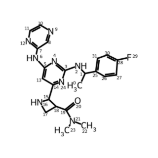 CC(Nc1nc(Nc2cnccn2)cc(C2NCC2C(=O)N(C)C)n1)c1ccc(F)cc1